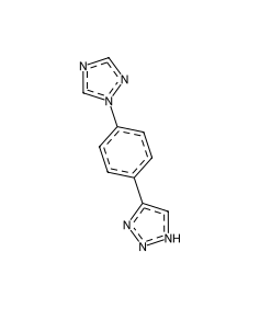 c1ncn(-c2ccc(-c3c[nH]nn3)cc2)n1